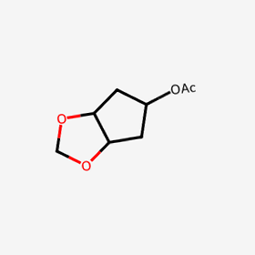 CC(=O)OC1CC2OCOC2C1